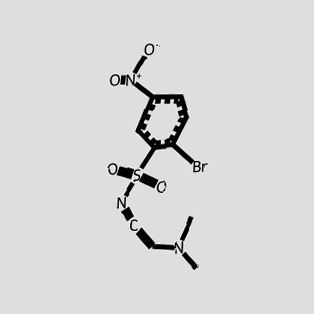 CN(C)C=C=NS(=O)(=O)c1cc([N+](=O)[O-])ccc1Br